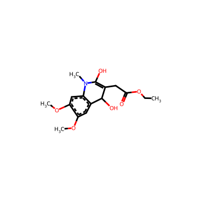 CCOC(=O)CC1=C(O)N(C)c2cc(OC)c(OC)cc2C1O